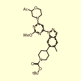 COc1nc(N2CCOC(C(C)=O)C2)cc(-n2ncc3cc(C)c(C4CCN(C(=O)OC(C)(C)C)CC4)cc32)n1